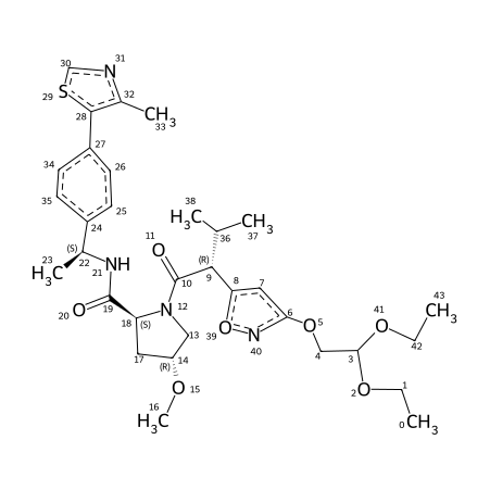 CCOC(COc1cc([C@H](C(=O)N2C[C@H](OC)C[C@H]2C(=O)N[C@@H](C)c2ccc(-c3scnc3C)cc2)C(C)C)on1)OCC